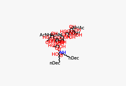 CCCCCCCCCCCCC/C=C/[C@@H](O)[C@H](CO[C@@H]1OC(CO)[C@@H](O[C@@H]2OC(CO)[C@H](O[C@@H]3OC(CO)[C@H](O)[C@H](O[C@@H]4OC(CO)[C@H](O)[C@H](O[C@]5(C(=O)O)CC(O)[C@@H](NC(C)=O)C([C@H](O)[C@H](O)CO)O5)C4O)C3NC(C)=O)[C@H](O[C@]3(C(=O)O)CC(O)[C@@H](NC(C)=O)C([C@H](O)[C@H](O)CO)O3)C2O)[C@H](O)C1O)NC(=O)CCCCCCCCCCCCCCC